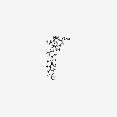 COc1ccc(C(=O)Nc2cccc(CNC(=O)Nc3ccc(C(F)(F)F)cc3)c2)c2c(N)noc12